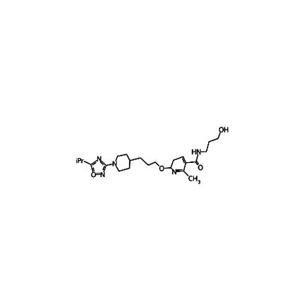 CC1=NC(OCCCC2CCN(c3noc(C(C)C)n3)CC2)CC=C1C(=O)NCCCO